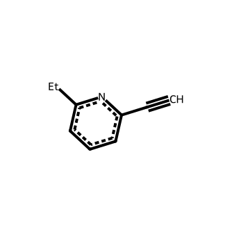 C#Cc1cccc(CC)n1